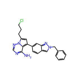 Nc1ncnn2c(CCCCl)cc(-c3ccc4cn(Cc5ccccc5)nc4c3)c12